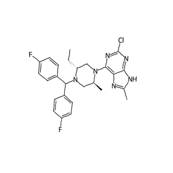 CC[C@@H]1CN(c2nc(Cl)nc3[nH]c(C)nc23)[C@@H](C)CN1C(c1ccc(F)cc1)c1ccc(F)cc1